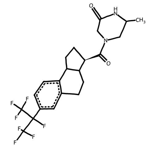 CC1CN(C(=O)[C@@H]2CCC3c4ccc(C(F)(C(F)(F)F)C(F)(F)F)cc4CCC32)CC(=O)N1